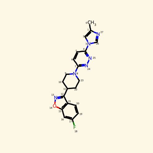 Cc1cn(-c2ccc(N3CCC(c4noc5cc(F)ccc45)CC3)nn2)cn1